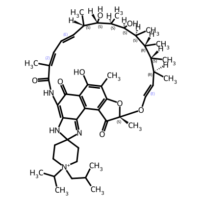 C/C1=C/C=C/[C@H](C)[C@H](O)[C@@H](C)[C@@H](O)[C@@H](C)[C@H](C)[C@H](C)[C@@H](C)/C=C/O[C@@]2(C)Oc3c(C)c(O)c4c(c3C2=O)C2=NC3(CC[N+](CC(C)C)(C(C)C)CC3)NC2=C(NC1=O)C4=O